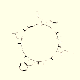 C/C=C(\C)[C@H]1OC(=O)[C@@H](C)N(C)C(=O)C(C(C)CC)NC(=O)CN(C)C(=O)[C@@H](Cc2ccccc2)N(C)C(=O)[C@H](C)NC(=O)[C@@H](CC(C)C)OC(=O)/C(C)=C/C[C@@H](OCSC)[C@H]1C